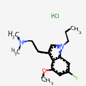 CCCn1cc(CCN(C)C)c2c(OC)cc(F)cc21.Cl